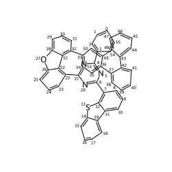 c1ccc(-c2nc(-c3cccc4c3sc3ccccc34)nc(-c3cccc4oc5cccc(-c6ccc7c8ccccc8c8ccccc8c7c6)c5c34)n2)cc1